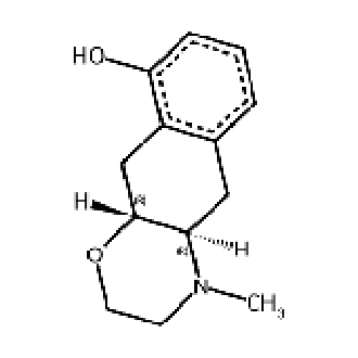 CN1CCO[C@@H]2Cc3c(O)cccc3C[C@H]21